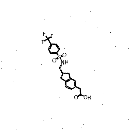 O=C(O)Cc1ccc2c(c1)CC(CNS(=O)(=O)c1ccc(C(F)(F)F)cc1)C2